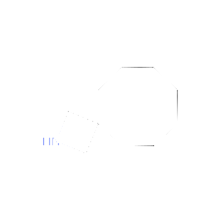 C1CCCC2(CCC1)CNC2